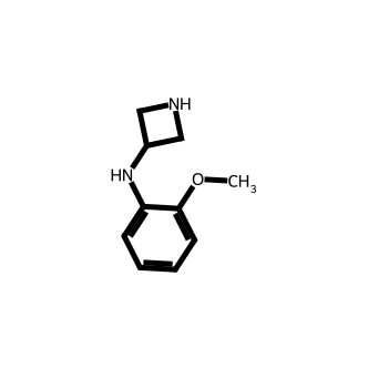 COc1ccccc1NC1CNC1